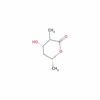 CC1C(=O)O[C@H](C)C[C@@H]1O